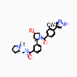 CCN1CCC[C@H]1CNC(=O)c1cccc([C@H]2CC(O)CN2C(=O)c2ccc(-c3cn[nH]c3)c(OC)c2)c1